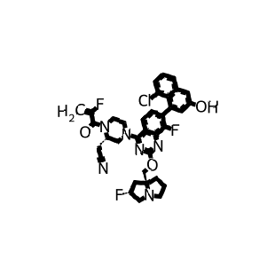 C=C(F)C(=O)N1CCN(c2nc(OC[C@@]34CCCN3C[C@H](F)C4)nc3c(F)c(-c4cc(O)cc5cccc(Cl)c45)ccc23)C[C@@H]1CC#N